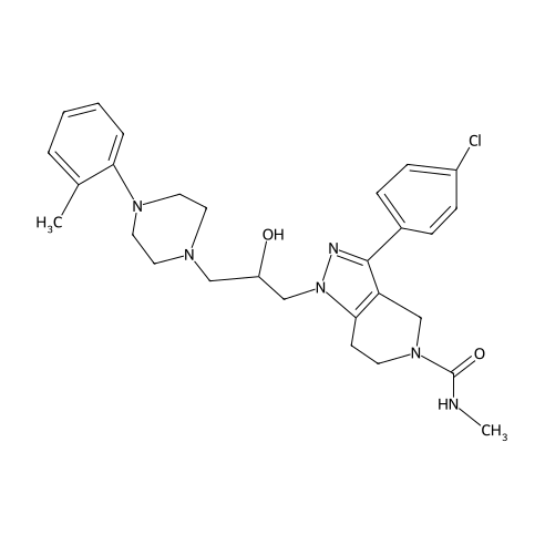 CNC(=O)N1CCc2c(c(-c3ccc(Cl)cc3)nn2CC(O)CN2CCN(c3ccccc3C)CC2)C1